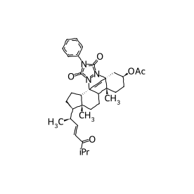 CC(=O)O[C@H]1CC[C@]2(C)C3CC[C@@]4(C)C(CC[C@@H]4[C@H](C)C=CC(=O)C(C)C)[C@]34C=C[C@@]2(C1)n1c(=O)n(-c2ccccc2)c(=O)n14